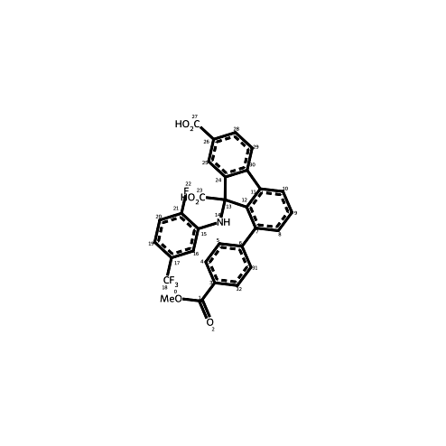 COC(=O)c1ccc(-c2cccc3c2C(Nc2cc(C(F)(F)F)ccc2F)(C(=O)O)c2cc(C(=O)O)ccc2-3)cc1